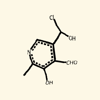 Cc1ncc(C(O)Cl)c(C=O)c1O